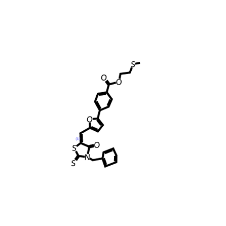 CSCCOC(=O)c1ccc(-c2ccc(/C=C3/SC(=S)N(Cc4ccccc4)C3=O)o2)cc1